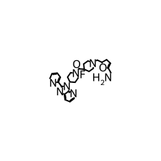 NCC1=CCC(CN2CCC(F)(C(=O)N3CCC(n4c(-c5ccccn5)nc5cccnc54)CC3)CC2)O1